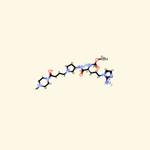 CN1CCN(C(=O)CCCN2CC[C@@H](NC(=O)[C@H](CCCn3ccnc3N)NC(=O)OC(C)(C)C)C2)CC1